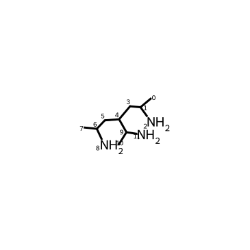 CC(N)CC(CC(C)N)C(C)N